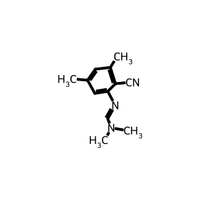 Cc1cc(C)c(C#N)c(/N=C/N(C)C)c1